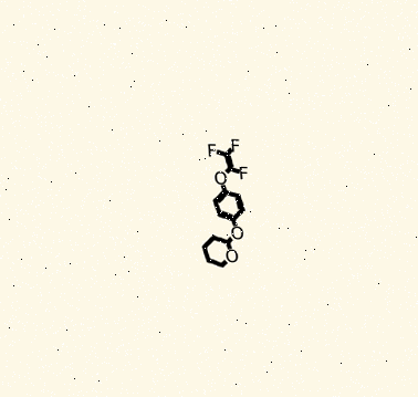 FC(F)=C(F)Oc1ccc(OC2CCCCO2)cc1